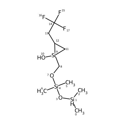 C[SiH](C)O[Si](C)(C)OC[Si]1(O)CC1CC(F)(F)F